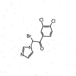 O=C(c1ccc(Cl)c(Cl)c1)C(Br)n1ccnc1